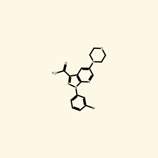 NC(=O)c1nn(-c2cccc(Br)c2)c2ncc(N3CCOCC3)cc12